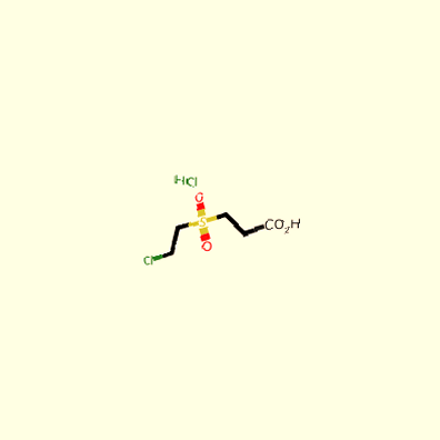 Cl.O=C(O)CCS(=O)(=O)CCCl